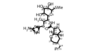 CSC1O[C@H]([C@H](NC(=O)[C@H]2NC[C@@H]3C[C@H](CC(C)C)CCO[C@H]32)[C@H](C)Sc2nnc(N)s2)C(O)[C@@H](O)[C@H]1O